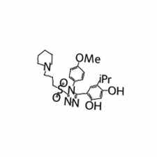 COc1ccc(-n2c(-c3cc(C(C)C)c(O)cc3O)nnc2S(=O)(=O)CCCN2CCCCC2)cc1